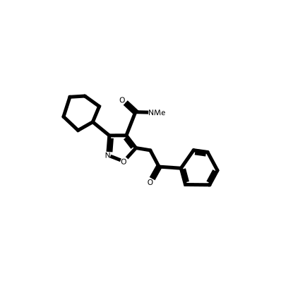 CNC(=O)c1c(C2CCCCC2)noc1CC(=O)c1ccccc1